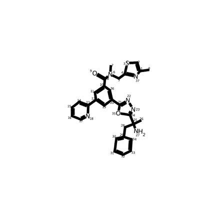 Cc1csc(CN(C)C(=O)c2cc(-c3ccccn3)cc(-c3nnc(C(C)(N)Cc4ccccc4)o3)c2)n1